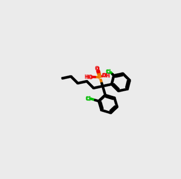 CCCCCC(c1ccccc1Cl)(c1ccccc1Cl)P(=O)(O)O